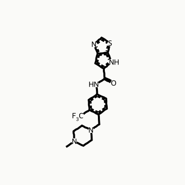 CN1CCN(Cc2ccc(NC(=O)c3cc4ncsc4[nH]3)cc2C(F)(F)F)CC1